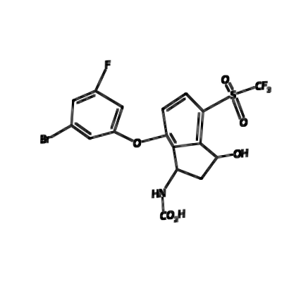 O=C(O)NC1CC(O)c2c(S(=O)(=O)C(F)(F)F)ccc(Oc3cc(F)cc(Br)c3)c21